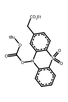 CCOC(=O)Cc1ccc2c(c1)N(OC(=O)OC(C)(C)C)c1ccccc1S2(=O)=O